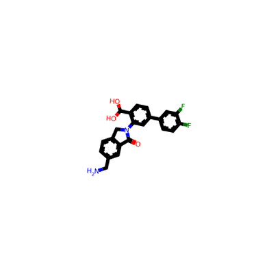 NCc1ccc2c(c1)C(=O)N(c1cc(-c3ccc(F)c(F)c3)ccc1C(O)O)C2